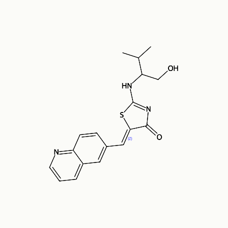 CC(C)C(CO)NC1=NC(=O)/C(=C/c2ccc3ncccc3c2)S1